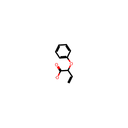 C=CC(Oc1ccccc1)C([O])=O